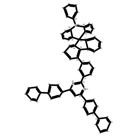 c1ccc(-c2ccc(-c3cc(-c4ccc(-c5ccccc5)cc4)nc(-c4cccc(-c5cccc6c5-c5ccccc5C65c6ccccc6N(c6ccccc6)c6ccccc65)c4)n3)cc2)cc1